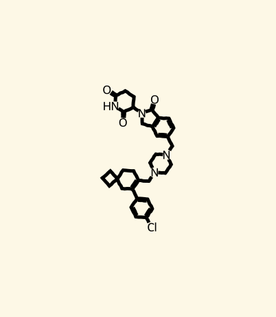 O=C1CCC(N2Cc3cc(CN4CCN(CC5=C(c6ccc(Cl)cc6)CC6(CCC6)CC5)CC4)ccc3C2=O)C(=O)N1